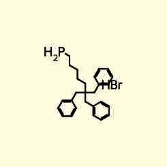 Br.PCCCCCC(Cc1ccccc1)(Cc1ccccc1)Cc1ccccc1